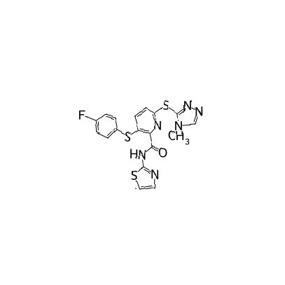 Cn1cnnc1Sc1ccc(Sc2ccc(F)cc2)c(C(=O)Nc2nc[c]s2)n1